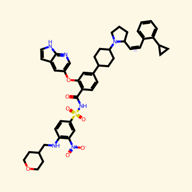 O=C(NS(=O)(=O)c1ccc(NCC2CCOCC2)c([N+](=O)[O-])c1)c1ccc(C2CCC(N3CCCC3/C=C\c3ccccc3C3CC3)CC2)cc1Oc1cnc2[nH]ccc2c1